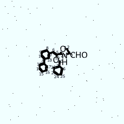 O=CC1COC(C(=Cc2cccc(-c3ccccc3)c2)OCc2ccccc2)N1